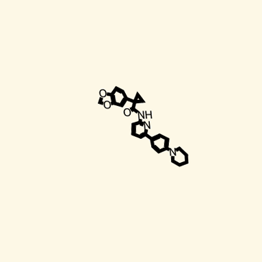 O=C(Nc1cccc(-c2ccc(N3CCCCC3)cc2)n1)C1(c2ccc3c(c2)OCO3)CC1